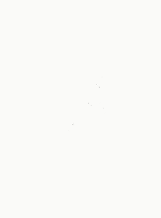 CCO[Si](CCN1CCN(C(C)(C)C)CC1[SiH](C)C)(OCC)OCC